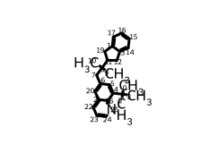 CC(C)(C)c1cc(CC(C)(C)C2Cc3ccccc3C2)cc2cccnc12